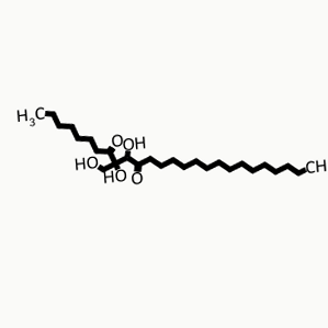 CCCCCCCCCCCCCCCC(=O)C(O)C(O)(CO)C(=O)CCCCCCC